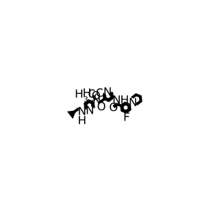 CON(C(=O)c1cc(NC(=O)c2cc(F)cc(N3CCCCC3)c2)cnc1C)c1ccc(NCC2CC2)nc1